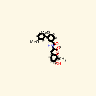 COc1cccc(-c2cc(C(=O)Nc3cc4ccc(O)c(C)c4oc3=O)ccc2OC)c1